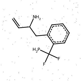 C=CC(N)Cc1ccccc1C(F)(F)P